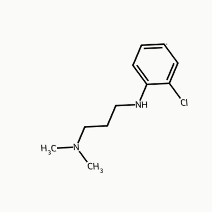 CN(C)CCCNc1cc[c]cc1Cl